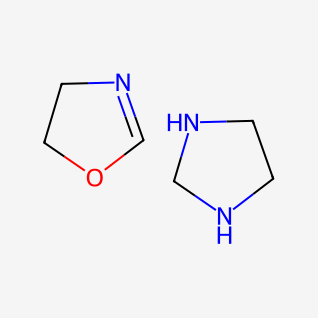 C1=NCCO1.C1CNCN1